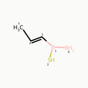 BB(S)C=CC